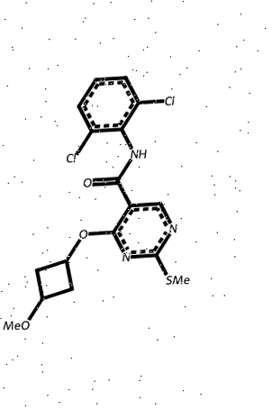 COC1CC(Oc2nc(SC)ncc2C(=O)Nc2c(Cl)cccc2Cl)C1